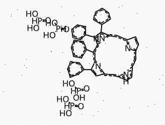 C1=Cc2cc3[nH]c(c(-c4ccccc4)c4nc(cc5ccc(cc1n2)[nH]5)C=C4c1ccccc1)c(-c1ccccc1)c3-c1ccccc1.O=[PH](O)O.O=[PH](O)O.O=[PH](O)O.O=[PH](O)O